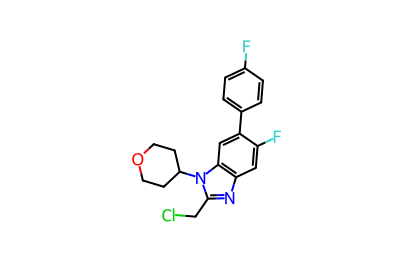 Fc1ccc(-c2cc3c(cc2F)nc(CCl)n3C2CCOCC2)cc1